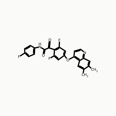 Cc1cc2nccc(Oc3cc(F)c(C(=O)C(=O)Nc4ccc(F)cc4)c(F)c3)c2cc1C